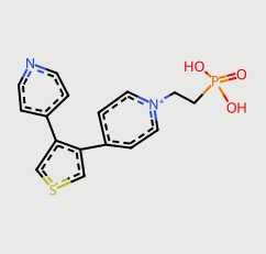 O=P(O)(O)CC[n+]1ccc(-c2cscc2-c2ccncc2)cc1